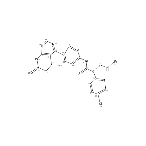 CC(C)NC[C@@H](C(=O)Nc1ccc(-c2ncnc3c2[C@H](C)CC(=O)N3)cc1)c1ccc(Cl)cc1